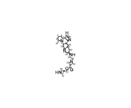 Cc1cccc(-c2[nH]cnc2-c2ccc3ncc(NCCN4CC(C(=O)OCC5CNC5)C4)cc3c2)n1